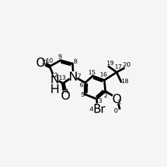 COc1c(Br)cc(-n2ccc(=O)[nH]c2=O)cc1C(C)(C)C